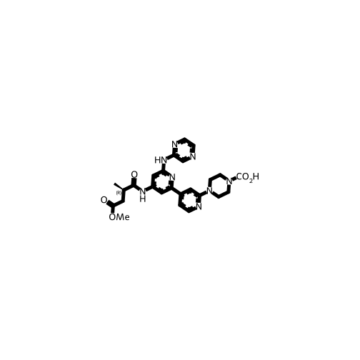 COC(=O)C[C@@H](C)C(=O)Nc1cc(Nc2cnccn2)nc(-c2ccnc(N3CCN(C(=O)O)CC3)c2)c1